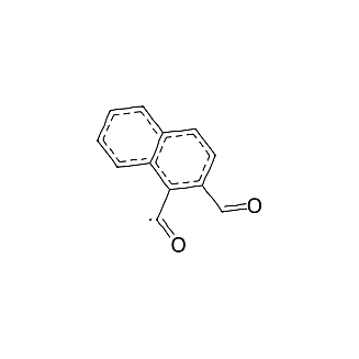 O=[C]c1c(C=O)ccc2ccccc12